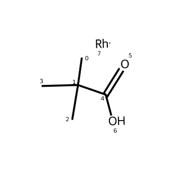 CC(C)(C)C(=O)O.[Rh]